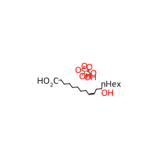 CCCCCC[C@@H](O)C/C=C\CCCCCCCC(=O)O.O=S(=O)(O)S(=O)(=O)O